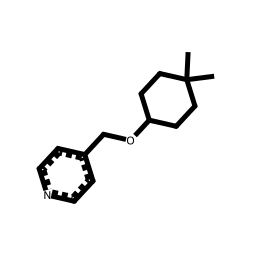 CC1(C)CCC(OCc2ccncc2)CC1